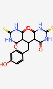 O=C1NC(=S)NC(=O)C1C(Cc1ccc(O)cc1)C1C(=O)NC(=S)NC1=O